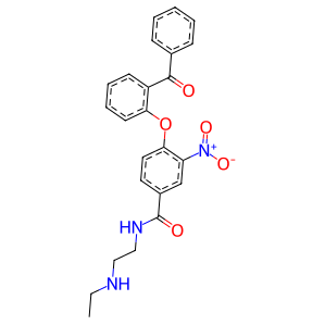 CCNCCNC(=O)c1ccc(Oc2ccccc2C(=O)c2ccccc2)c([N+](=O)[O-])c1